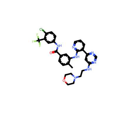 Cc1ccc(C(=O)Nc2ccc(Cl)c(C(F)(F)F)c2)cc1Nc1ncccc1-c1cc(NCCN2CCOCC2)ncn1